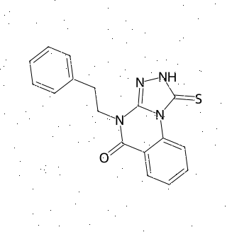 O=c1c2ccccc2n2c(=S)[nH]nc2n1CCc1ccccc1